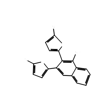 Nc1ccc(-c2cc3ccccc3c(N)c2-c2ccc(N)s2)s1